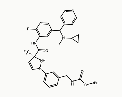 CN(C1CC1)C(c1ccncc1)c1ccc(F)c(NC(=O)[C@]2(C(F)(F)F)C=CN(c3cccc(CNC(=O)OC(C)(C)C)c3)N2)c1